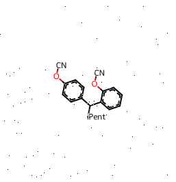 CCCC(C)C(c1ccc(OC#N)cc1)c1ccccc1OC#N